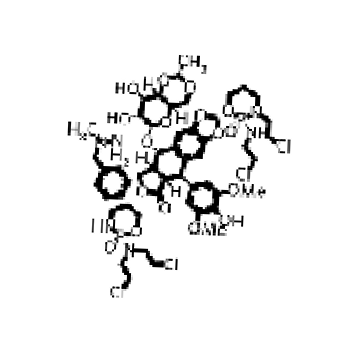 CN(N)Cc1ccccc1.COc1cc([C@@H]2c3cc4c(cc3[C@@H](O[C@@H]3O[C@@H]5CO[C@@H](C)O[C@H]5[C@H](O)[C@H]3O)[C@H]3COC(=O)[C@H]23)OCO4)cc(OC)c1O.O=P1(N(CCCl)CCCl)NCCCO1.O=P1(NCCCl)OCCCN1CCCl